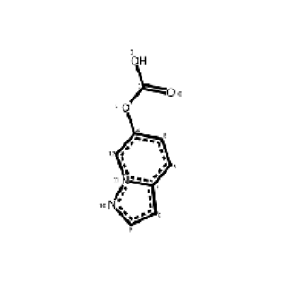 O=C(O)Oc1ccc2ccnn2c1